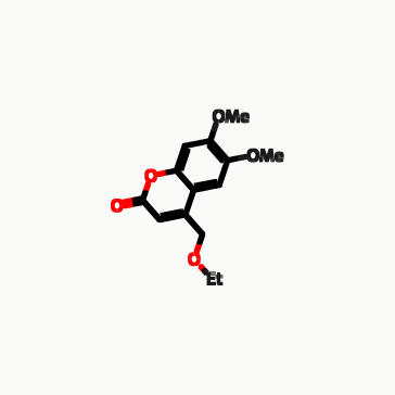 CCOCc1cc(=O)oc2cc(OC)c(OC)cc12